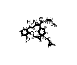 COc1cccc(/C=C/C(N)=C(/C(=O)N/C=C\SC)c2ccc(OCC3CC3)cc2)c1OCC1CC1